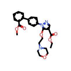 CCOC(=O)c1cnn(-c2ccc(-c3ccccc3C(=O)OC)cc2)c1OCCN1CCOCC1